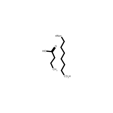 CCCC(=O)O.CCCCCCCCCCCCCCCC(=O)O